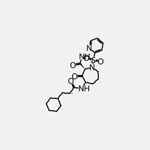 NC(=O)[C@@H]1C(=O)C(NC(=O)[CH]CC2CCCCC2)CCCN1S(=O)(=O)c1ccccn1